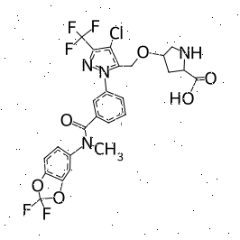 CN(C(=O)c1cccc(-n2nc(C(F)(F)F)c(Cl)c2COC2CNC(C(=O)O)C2)c1)c1ccc2c(c1)OC(F)(F)O2